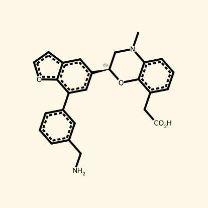 CN1C[C@H](c2cc(-c3cccc(CN)c3)c3occc3c2)Oc2c(CC(=O)O)cccc21